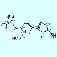 CC(C)(C)[Si](C)(C)OC[C@H]1CC=C(c2csc(S)n2)CN1C(=O)O